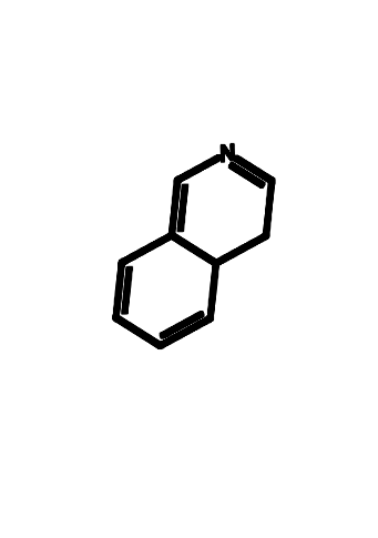 C1=CC2=CN=CCC2C=C1